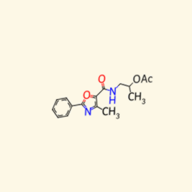 CC(=O)OC(C)CNC(=O)c1oc(-c2ccccc2)nc1C